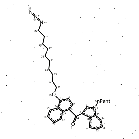 CCCCCn1cc(C(=O)c2ccc(OCCCCCCCCCCN=[N+]=[N-])c3ccccc23)c2ccccc21